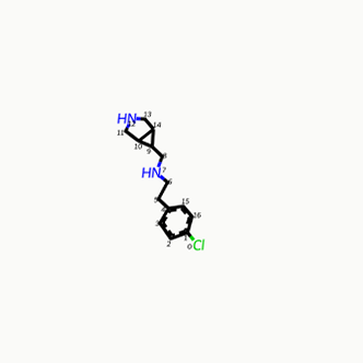 Clc1ccc(CCNCC2C3CNCC23)cc1